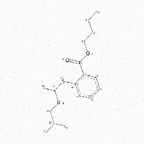 CCCCOC(=O)c1ccccc1SC(C)OCC(C)C